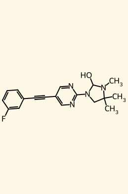 CN1C(O)N(c2ncc(C#Cc3cccc(F)c3)cn2)CC1(C)C